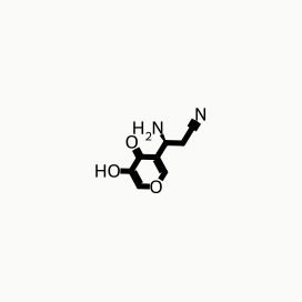 N#CC[C@H](N)c1cocc(O)c1=O